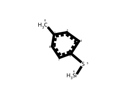 Cc1ccc(S[SiH3])cc1